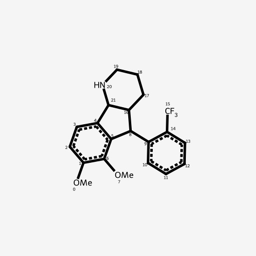 COc1ccc2c(c1OC)C(c1ccccc1C(F)(F)F)C1CCCNC21